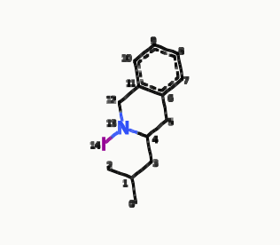 CC(C)CC1Cc2ccccc2CN1I